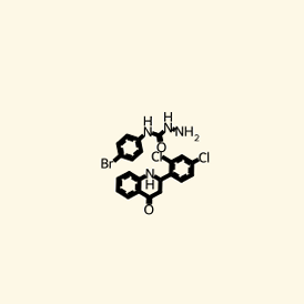 NNC(=O)Nc1ccc(Br)cc1.O=C1CC(c2ccc(Cl)cc2Cl)Nc2ccccc21